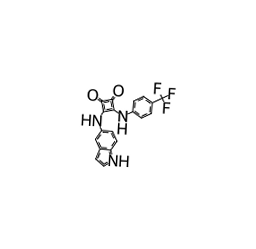 O=c1c(Nc2ccc(C(F)(F)F)cc2)c(Nc2ccc3[nH]ccc3c2)c1=O